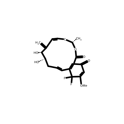 C=C1/C=C\C[C@H](C)OC(=O)C2=C(/C=C/C[C@H](O)[C@@H]1O)C(F)(F)C(OC)=CC2=O